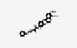 COc1ccc2c(Oc3ccc(NC(=O)C(=O)NCCOc4ccccc4)cc3F)ccnc2c1OC